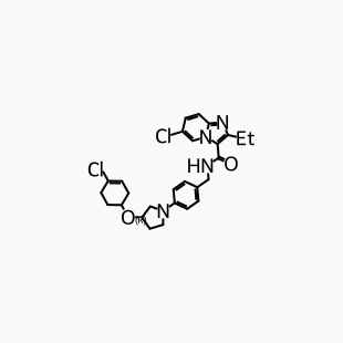 CCc1nc2ccc(Cl)cn2c1C(=O)NCc1ccc(N2CC[C@@H](OC3CC=C(Cl)CC3)C2)cc1